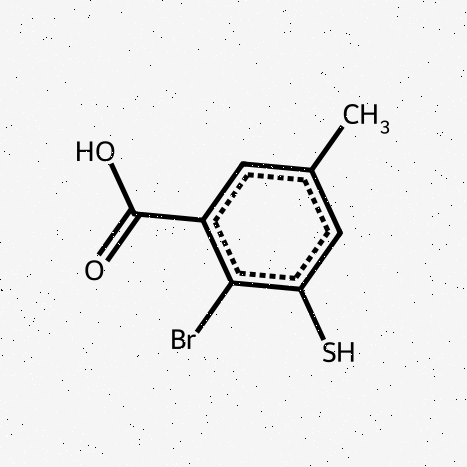 Cc1cc(S)c(Br)c(C(=O)O)c1